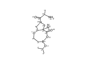 CC(C)OB1CCOC2CN(C(=O)C(C)N)CC2(N)C(=O)O1